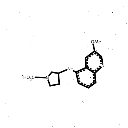 COc1cnc2cccc(NC3CCN(C(=O)O)C3)c2c1